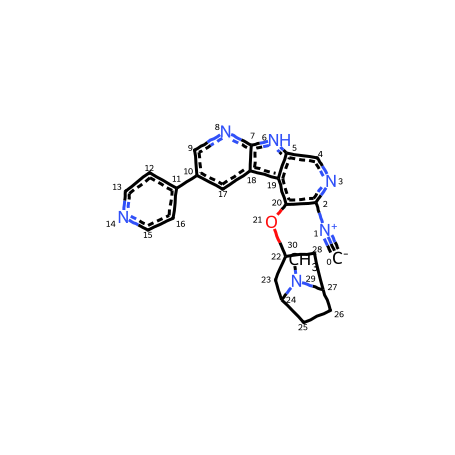 [C-]#[N+]c1ncc2[nH]c3ncc(-c4ccncc4)cc3c2c1OC1CC2CCC(C1)N2C